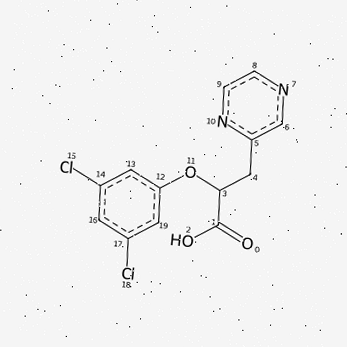 O=C(O)C(Cc1cnccn1)Oc1cc(Cl)cc(Cl)c1